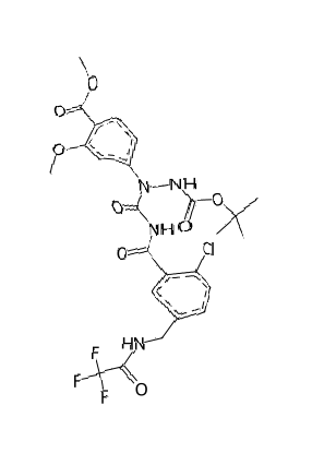 COC(=O)c1ccc(N(NC(=O)OC(C)(C)C)C(=O)NC(=O)c2cc(CNC(=O)C(F)(F)F)ccc2Cl)cc1OC